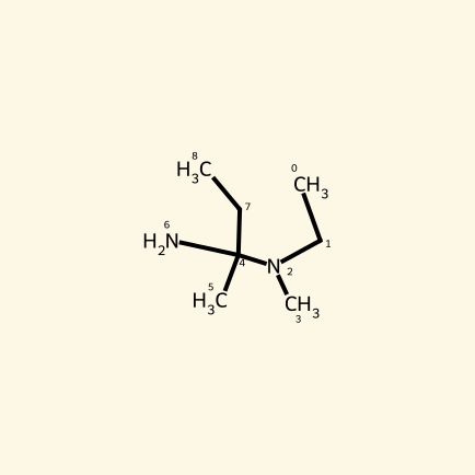 CCN(C)C(C)(N)CC